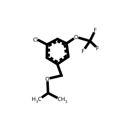 CC(C)OCc1cc(Cl)cc(OC(F)(F)F)c1